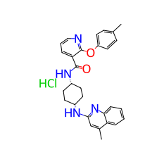 Cc1ccc(Oc2ncccc2C(=O)N[C@H]2CC[C@@H](Nc3cc(C)c4ccccc4n3)CC2)cc1.Cl